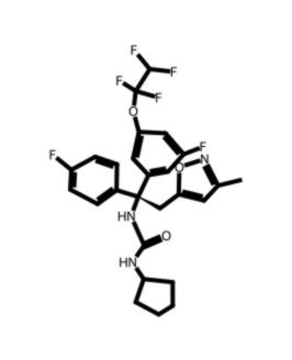 Cc1cc(C[C@@](NC(=O)NC2CCCC2)(c2ccc(F)cc2)c2cc(F)cc(OC(F)(F)C(F)F)c2)on1